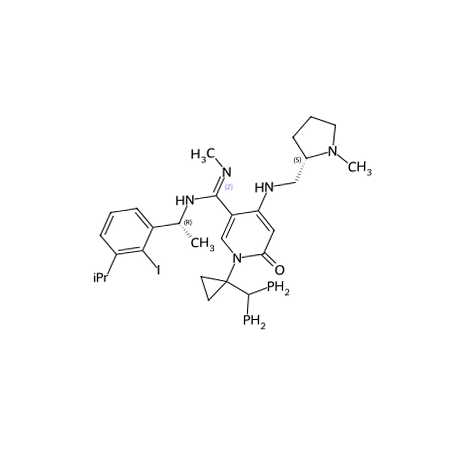 C/N=C(\N[C@H](C)c1cccc(C(C)C)c1I)c1cn(C2(C(P)P)CC2)c(=O)cc1NC[C@@H]1CCCN1C